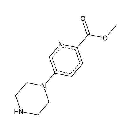 COC(=O)c1ccc(N2CCNCC2)cn1